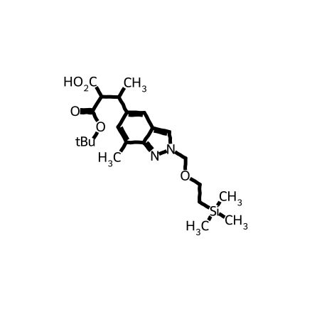 Cc1cc(C(C)C(C(=O)O)C(=O)OC(C)(C)C)cc2cn(COCC[Si](C)(C)C)nc12